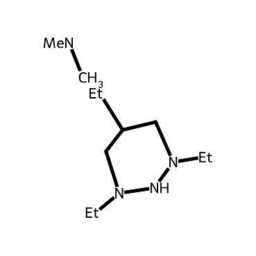 CCC1CN(CC)NN(CC)C1.CNC